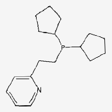 c1ccc(CCP(C2CCCC2)C2CCCC2)nc1